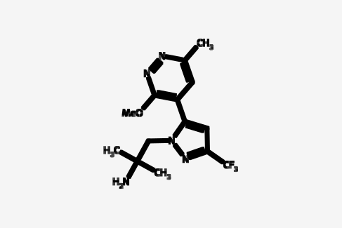 COc1nnc(C)cc1-c1cc(C(F)(F)F)nn1CC(C)(C)N